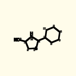 N#CC1CSC(C2CCCCC2)N1